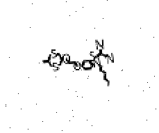 C=C1CSCC(OCCOc2ccc3c(c2)SC(=C(C#N)C#N)N3CCCCCC)CSC1